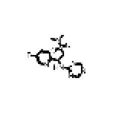 CN(C)S(=O)(=O)CC(Nc1ncncn1)c1ccc(F)cn1